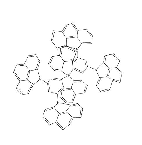 c1ccc2c([Si](c3cc(-n4c5cccc6ccc7cccc4c7c65)cc(-n4c5cccc6ccc7cccc4c7c65)c3)(c3cc(-n4c5cccc6ccc7cccc4c7c65)cc(-n4c5cccc6ccc7cccc4c7c65)c3)c3cccc4ccccc34)cccc2c1